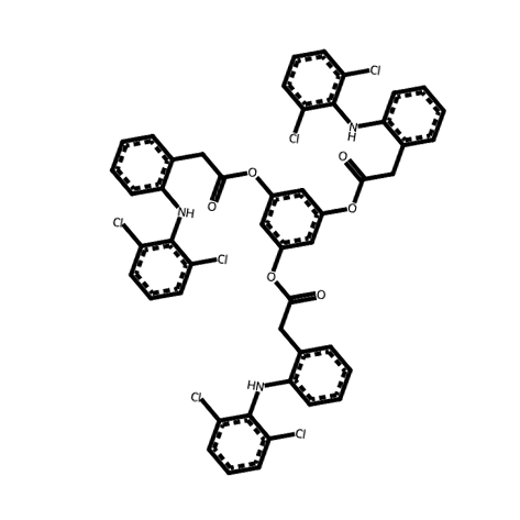 O=C(Cc1ccccc1Nc1c(Cl)cccc1Cl)Oc1cc(OC(=O)Cc2ccccc2Nc2c(Cl)cccc2Cl)cc(OC(=O)Cc2ccccc2Nc2c(Cl)cccc2Cl)c1